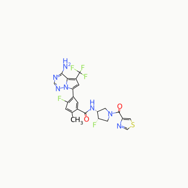 Cc1cc(F)c(-c2cc(C(F)(F)F)c3c(N)ncnn23)cc1C(=O)N[C@@H]1CN(C(=O)c2cscn2)C[C@@H]1F